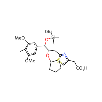 COc1cc(C(O[Si](C)(C)C(C)(C)C)C(Cc2nc(CC(=O)O)cs2)OC2CCCC2)cc(OC)c1C